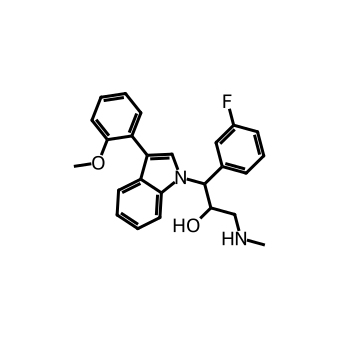 CNCC(O)C(c1cccc(F)c1)n1cc(-c2ccccc2OC)c2ccccc21